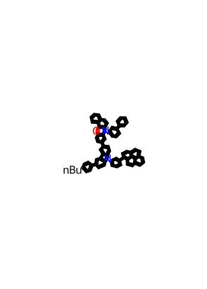 CCCCc1ccc(-c2ccc3c(c2)c2cc(-c4ccc5c(c4)N(c4cccc(-c6ccccc6)c4)c4ccc6ccccc6c4O5)ccc2n3-c2cccc(-c3ccc4ccc5cccc6ccc3c4c56)c2)cc1